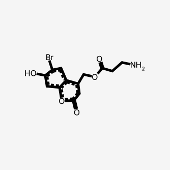 NCCC(=O)OCc1cc(=O)oc2cc(O)c(Br)cc12